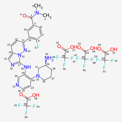 CN(C)C(=O)c1ccc(F)c(-c2ccc3cnc(Nc4cnccc4N4CCC[C@H](N)C4)n3n2)c1.O=C(O)C(F)(F)F.O=C(O)C(F)(F)F.O=C(O)C(F)(F)F.O=C(O)C(F)(F)F